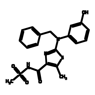 Cc1sc(N(Cc2ccccc2)c2cccc(O)c2)nc1C(=O)NS(C)(=O)=O